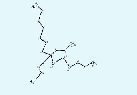 CCCCCCCC(CCC)(CCC)OOOCCC